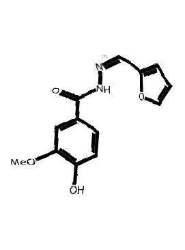 COc1cc(C(=O)N/N=C\c2ccco2)ccc1O